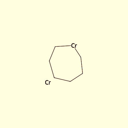 C1CC[CH2][Cr][CH2]C1.[Cr]